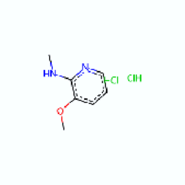 CNc1ncccc1OC.Cl.Cl